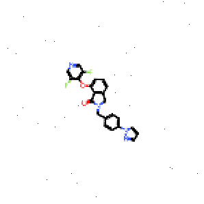 O=C1c2c(cccc2Oc2c(F)cncc2F)CN1Cc1ccc(-n2cccn2)cc1